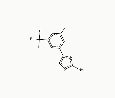 Nc1nc(-c2cc(F)cc(C(F)(F)F)c2)cs1